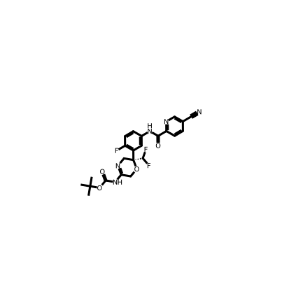 CC(C)(C)OC(=O)NC1=NC[C@](c2cc(NC(=O)c3ccc(C#N)cn3)ccc2F)(C(F)F)OC1